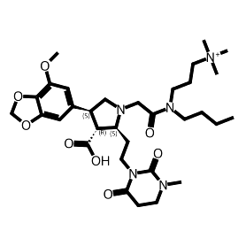 CCCCN(CCC[N+](C)(C)C)C(=O)CN1C[C@H](c2cc(OC)c3c(c2)OCO3)[C@@H](C(=O)O)[C@@H]1CCN1C(=O)CCN(C)C1=O